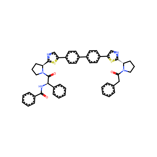 O=C(N[C@@H](C(=O)N1CCC[C@H]1c1ncc(-c2ccc(-c3ccc(-c4cnc([C@@H]5CCCN5C(=O)Cc5ccccc5)s4)cc3)cc2)s1)c1ccccc1)c1ccccc1